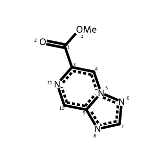 COC(=O)c1cn2ncnc2cn1